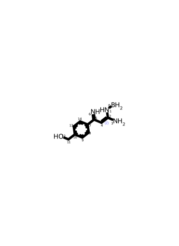 BN/C(N)=C\C(=N)c1ccc(CO)cc1